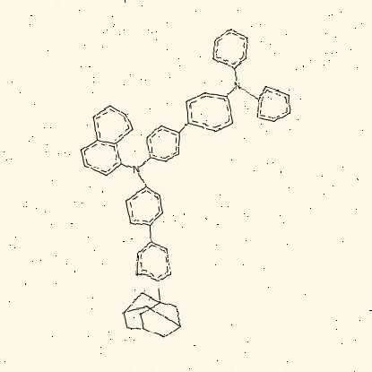 c1ccc(N(c2ccccc2)c2ccc(-c3ccc(N(c4ccc(-c5ccc(C67CC8CC(CC(C8)C6)C7)cc5)cc4)c4cccc5ccccc45)cc3)cc2)cc1